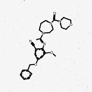 COc1cc(OCc2ccccc2)cc(C#N)c1N=C(C)N1CCCN(C(=O)N2CCOCC2)CC1